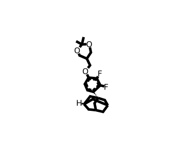 CC1(C)OCC(COc2ccc([C@]34CC5CC(C[C@H](C5)C3)C4)c(F)c2F)CO1